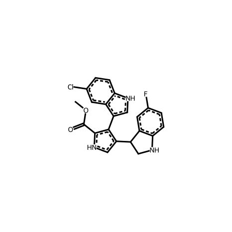 COC(=O)c1[nH]cc(C2CNc3ccc(F)cc32)c1-c1c[nH]c2ccc(Cl)cc12